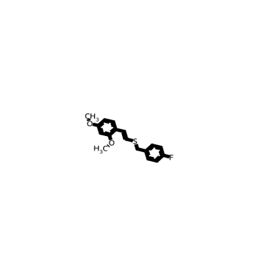 COc1ccc(C=CSCc2ccc(F)cc2)c(OC)c1